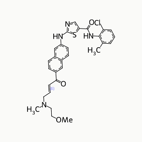 COCCN(C)C/C=C/C(=O)c1ccc2cc(Nc3ncc(C(=O)Nc4c(C)cccc4Cl)s3)ccc2c1